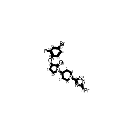 CC(C)c1nsc(N2CCC(N3CCC(Oc4ccc(Br)cc4F)C3=O)CC2)n1